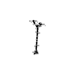 CC(N)(N)CCC(=O)OC[C@@H]1C[C@H](OC(=O)CCCC(=O)NCCCOCCOCCOCCCNC(=O)CCCC[C@@H]2SC[C@H]3NC(=O)N[C@@H]23)[C@H](n2cnc3c(N)ncnc32)O1